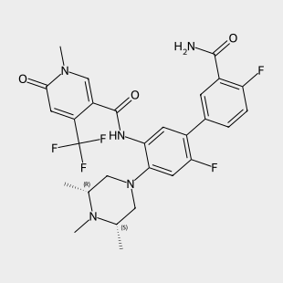 C[C@@H]1CN(c2cc(F)c(-c3ccc(F)c(C(N)=O)c3)cc2NC(=O)c2cn(C)c(=O)cc2C(F)(F)F)C[C@H](C)N1C